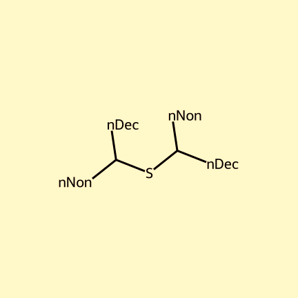 CCCCCCCCCCC(CCCCCCCCC)SC(CCCCCCCCC)CCCCCCCCCC